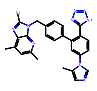 CCc1nc2c(C)cc(C)nc2n1Cc1ccc(-c2cc(-n3cncc3C)ccc2-c2nnn[nH]2)cc1